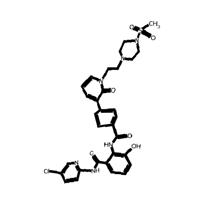 CS(=O)(=O)N1CCN(CCn2cccc(-c3ccc(C(=O)Nc4c(O)cccc4C(=O)Nc4ccc(Cl)cn4)cc3)c2=O)CC1